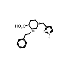 O=C(O)N1CCN(Cc2cc[nH]n2)C[C@@H]1CCc1ccccc1